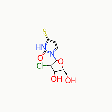 O=c1[nH]c(=S)ccn1[C@H]1O[C@@H](CO)C(O)C1Cl